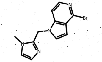 Cn1ccnc1Cn1ccc2c(Br)nccc21